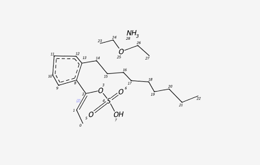 C/C=C(\OS(=O)(=O)O)c1ccccc1CCCCCCCCC.CCOCC.N